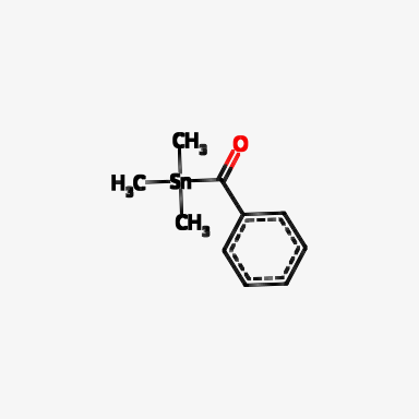 [CH3][Sn]([CH3])([CH3])[C](=O)c1ccccc1